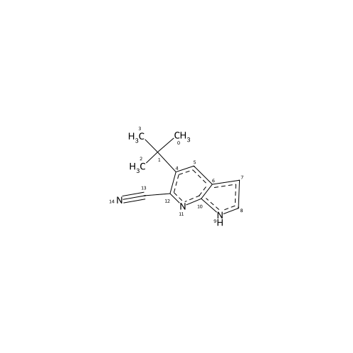 CC(C)(C)c1cc2cc[nH]c2nc1C#N